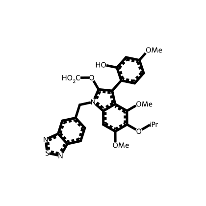 COc1ccc(-c2c(OC(=O)O)n(Cc3ccc4nsnc4c3)c3cc(OC)c(OC(C)C)c(OC)c23)c(O)c1